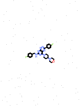 Fc1ccc(CNc2nc(N3CCC(N4CCOCC4)CC3)c3nc(-c4ccc(F)cc4)nnc3n2)cc1